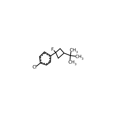 CC(C)(C)C1CC(F)(c2ccc(Cl)cc2)C1